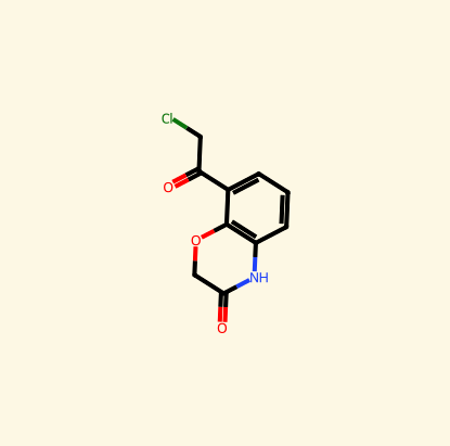 O=C1COc2c(cccc2C(=O)CCl)N1